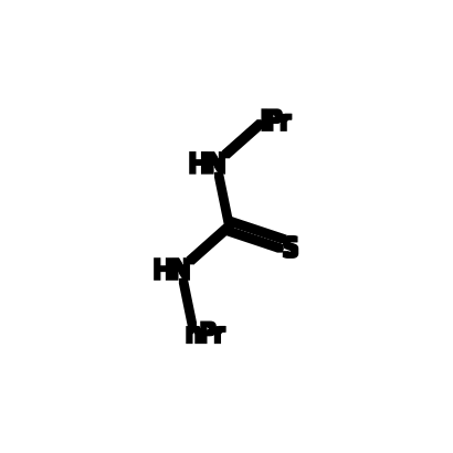 CCCNC(=S)NC(C)C